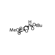 COS(=O)(=O)C[C@@H]1CC[C@@H](NC(=O)OC(C)(C)C)CO1